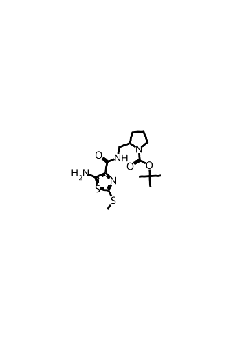 CSc1nc(C(=O)NCC2CCCN2C(=O)OC(C)(C)C)c(N)s1